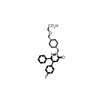 O=C(O)COC[C@H]1CC[C@@H](Cn2nc(-c3ccccc3)c(-c3ccc(F)cc3)cc2=O)CC1